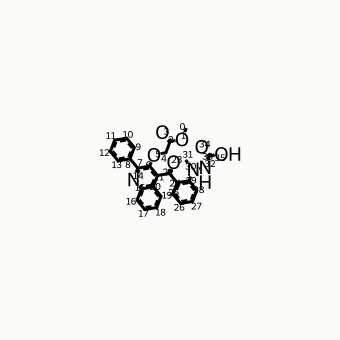 COC(=O)COc1c(-c2ccccc2)nc2ccccc2c1C(=O)c1ccccc1N(C)NC(=O)O